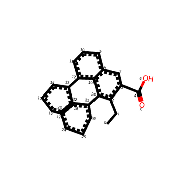 CCc1c(C(=O)O)cc2cccc(-c3ccccc3)c2c1-c1ccccc1